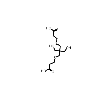 O=C(O)CCSCC(CO)(CO)CSCCC(=O)O